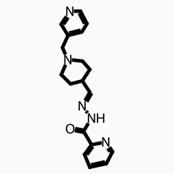 O=C(N/N=C/C1CCN(Cc2cccnc2)CC1)c1ccccn1